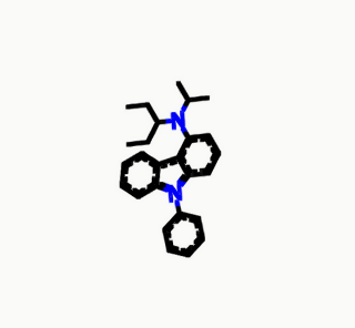 CCC(CC)N(c1cccc2c1c1ccccc1n2-c1ccccc1)C(C)C